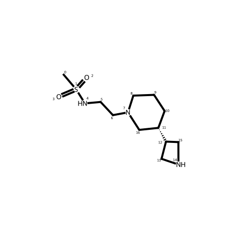 CS(=O)(=O)NCCN1CCC[C@H](C2CNC2)C1